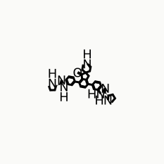 O=C1c2c(-c3ccc4nc([C@@H]5CCCN5)[nH]c4c3)ccc(-c3ccc4nc([C@@H]5CCCN5)[nH]c4c3)c2CC12CCNCC2